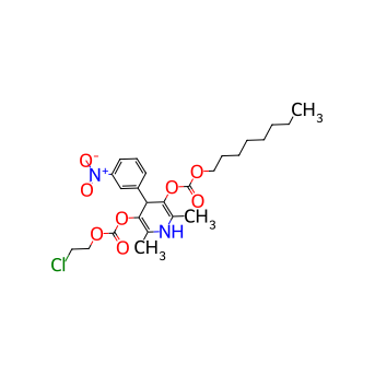 CCCCCCCCOC(=O)OC1=C(C)NC(C)=C(OC(=O)OCCCl)C1c1cccc([N+](=O)[O-])c1